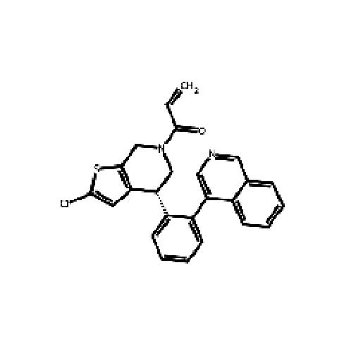 C=CC(=O)N1Cc2sc(Cl)cc2[C@@H](c2ccccc2-c2cncc3ccccc23)C1